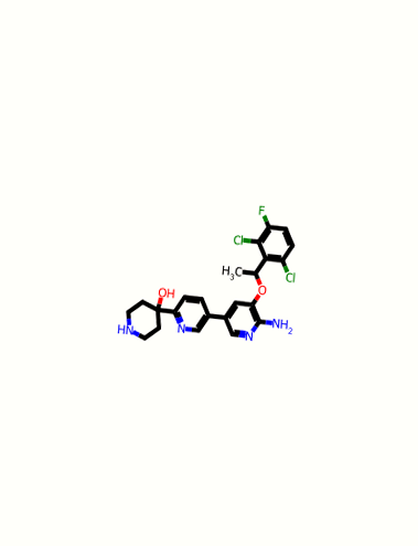 CC(Oc1cc(-c2ccc(C3(O)CCNCC3)nc2)cnc1N)c1c(Cl)ccc(F)c1Cl